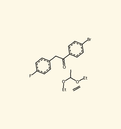 C=C.CCOC(C)OCC.O=C(Cc1ccc(F)cc1)c1ccc(Br)cc1